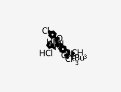 CC(N(Cc1ccc2c(c1)nc(NC(=O)c1ccc(Cl)cc1)n2CC1CCCN1)C(=O)C(F)(F)F)C(C)(C)C.Cl